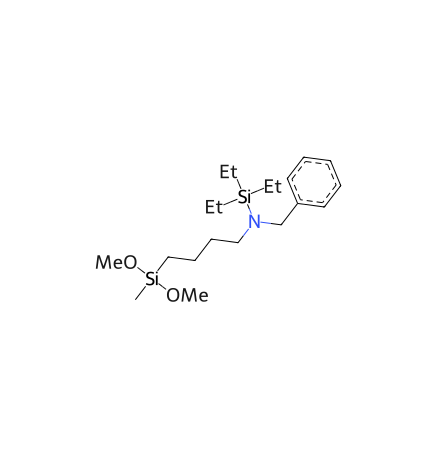 CC[Si](CC)(CC)N(CCCC[Si](C)(OC)OC)Cc1ccccc1